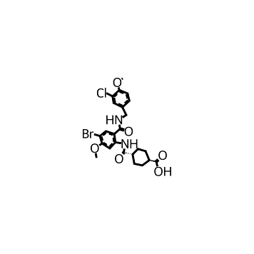 COc1ccc(CNC(=O)c2cc(Br)c(OC)cc2NC(=O)[C@H]2CC[C@H](C(=O)O)CC2)cc1Cl